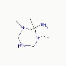 CN1CNCN(C)C1(C)N